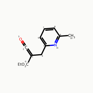 CCOC(=O)C(=C=O)Cc1cccc(C)n1